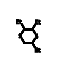 CCC1=C(CC)SC(CC)CS1